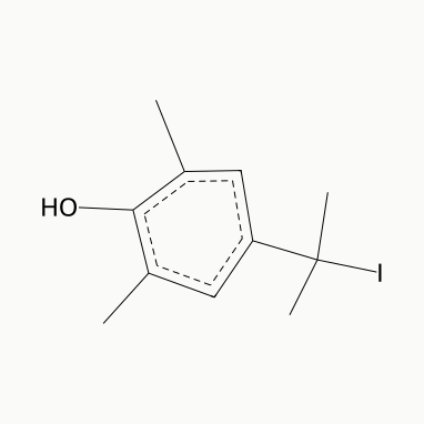 Cc1cc(C(C)(C)I)cc(C)c1O